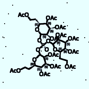 CC(=O)OCC[C@H]1OC(OP(=O)(OC2O[C@H](CCOC(C)=O)[C@@H](OC(C)=O)[C@H](OC(C)=O)[C@@H]2OC(C)=O)OC2O[C@H](CCOC(C)=O)[C@@H](OC(C)=O)[C@H](OC(C)=O)[C@@H]2OC(C)=O)[C@@H](OC(C)=O)[C@@H](OC(C)=O)[C@@H]1OC(C)=O